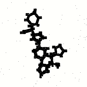 CC[C@@H]1c2nncn2-c2cnc(-n3cc(C(=O)N4CCOCC4)cn3)nc2N1C1CCCC1